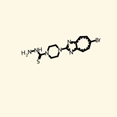 NNC(=S)N1CCN(c2nc3ccc(Br)ccc-3n2)CC1